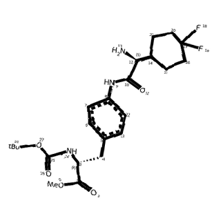 COC(=O)[C@@H](Cc1ccc(NC(=O)[C@@H](N)C2CCC(F)(F)CC2)cc1)NC(=O)OC(C)(C)C